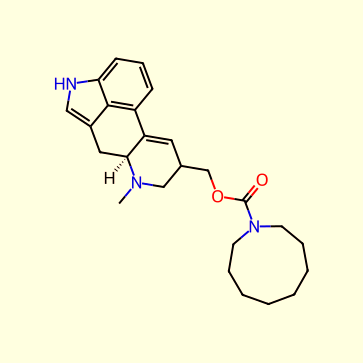 CN1CC(COC(=O)N2CCCCCCCC2)C=C2c3cccc4[nH]cc(c34)C[C@@H]21